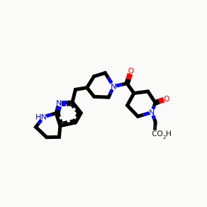 O=C(O)CN1CCC(C(=O)N2CCC(Cc3ccc4c(n3)NCCC4)CC2)CC1=O